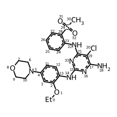 CCOc1cc(N2CCOCC2)ccc1Nc1nc(N)c(Cl)c(Nc2ccccc2S(C)(=O)=O)n1